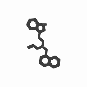 C=CCN(CCc1c[nH]c2ccccc12)Cc1cccc2ccccc12